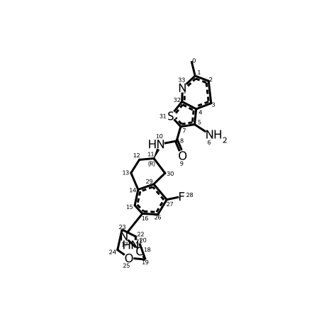 Cc1ccc2c(N)c(C(=O)N[C@@H]3CCc4cc(N5CC6CNCC5CO6)cc(F)c4C3)sc2n1